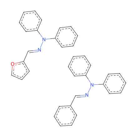 C(=NN(c1ccccc1)c1ccccc1)c1ccccc1.C(=NN(c1ccccc1)c1ccccc1)c1ccco1